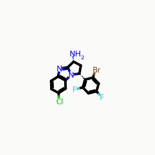 N[C@@H]1C[C@H](c2c(F)cc(F)cc2Br)n2c1nc1ccc(Cl)cc12